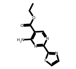 CCOC(=O)c1cnc(-c2nccs2)nc1N